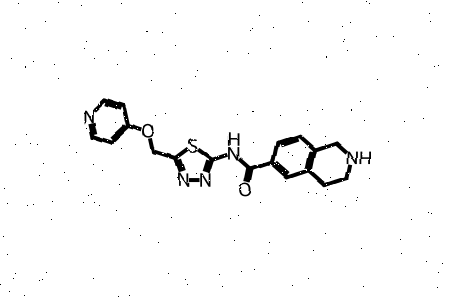 O=C(Nc1nnc(COc2ccncc2)s1)c1ccc2c(c1)CCNC2